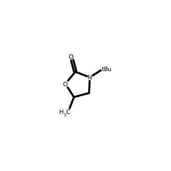 CC1CN(C(C)(C)C)C(=O)O1